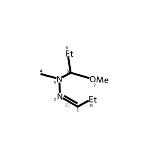 CC/C=N\N(C)C(CC)OC